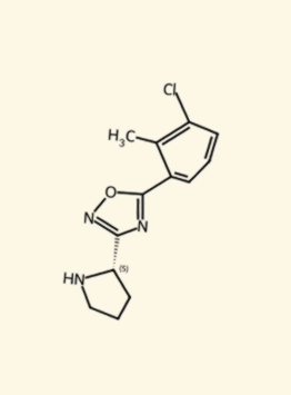 Cc1c(Cl)cccc1-c1nc([C@@H]2CCCN2)no1